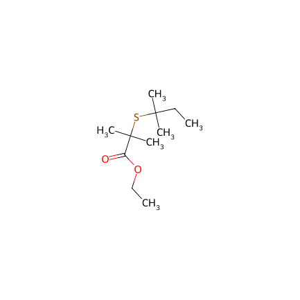 CCOC(=O)C(C)(C)SC(C)(C)CC